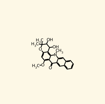 COc1cc2c(c3c1c(=O)c1cc4ccccc4cc1n3C)C(O)C(O)C(C)(C)O2